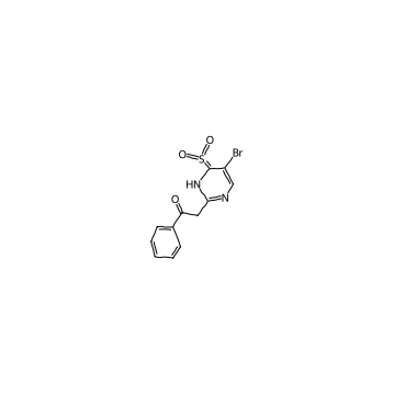 O=C(Cc1ncc(Br)c(=S(=O)=O)[nH]1)c1ccccc1